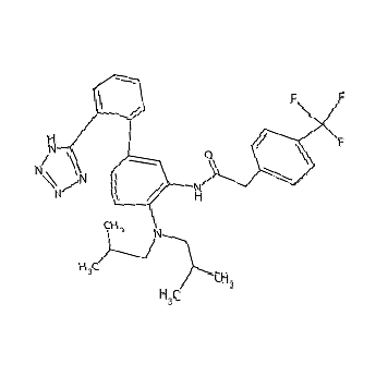 CC(C)CN(CC(C)C)c1ccc(-c2ccccc2-c2nnn[nH]2)cc1NC(=O)Cc1ccc(C(F)(F)F)cc1